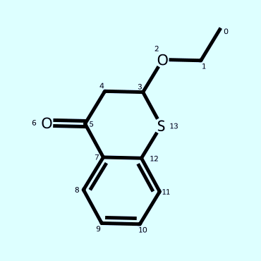 CCOC1CC(=O)c2ccccc2S1